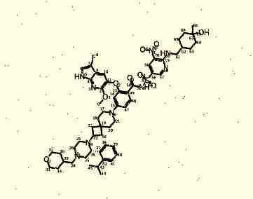 COc1nc2[nH]cc(F)c2cc1Oc1cc(N2CCC3(CC2)CC(N2CCN(CC4CCOCC4)C[C@H]2c2ccccc2C(C)C)C3)ccc1C(=O)NS(=O)(=O)c1cnc(NCC2CCC(C)(O)CC2)c([N+](=O)[O-])c1